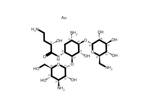 NCC[C@H](O)C(=O)N[C@@H]1C[C@H](N)[C@@H](O[C@H]2O[C@H](CN)[C@@H](O)[C@H](O)[C@H]2O)[C@H](O)[C@H]1O[C@H]1O[C@H](CO)[C@@H](O)[C@H](N)[C@H]1O.[Au]